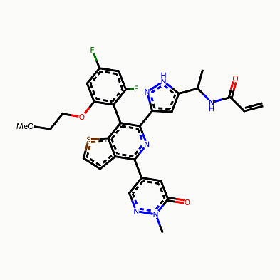 C=CC(=O)NC(C)c1cc(-c2nc(-c3cnn(C)c(=O)c3)c3ccsc3c2-c2c(F)cc(F)cc2OCCOC)n[nH]1